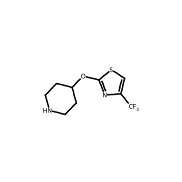 FC(F)(F)c1csc(OC2CCNCC2)n1